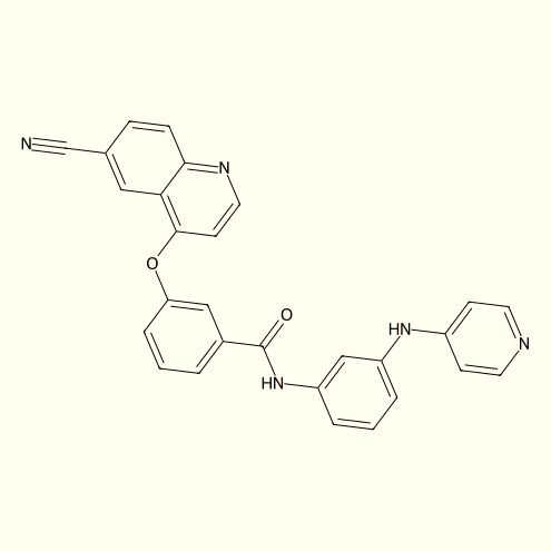 N#Cc1ccc2nccc(Oc3cccc(C(=O)Nc4cccc(Nc5ccncc5)c4)c3)c2c1